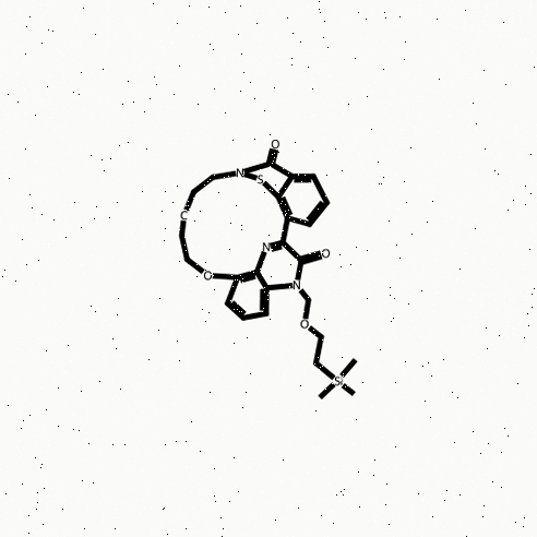 C[Si](C)(C)CCOCn1c(=O)c2nc3c(cccc31)OCCCCCn1sc3c-2cccc3c1=O